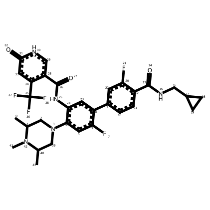 CC1CN(c2cc(F)c(-c3ccc(C(=O)NCC4CC4)c(F)c3)cc2NC(=O)c2c[nH]c(=O)cc2C(F)(F)F)CC(C)N1C